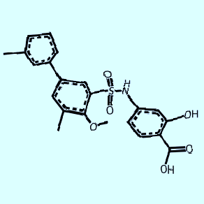 COc1c(C)cc(-c2cccc(C)c2)cc1S(=O)(=O)Nc1ccc(C(=O)O)c(O)c1